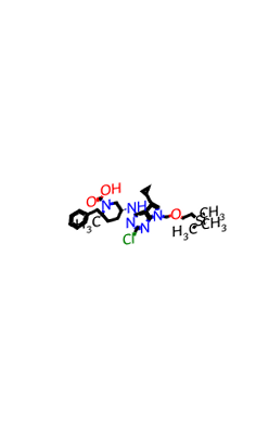 C[C@@]1(Cc2ccccc2)CC[C@@H](Nc2nc(Cl)nc3c2c(C2CC2)cn3COCC[Si](C)(C)C)CN1C(=O)O